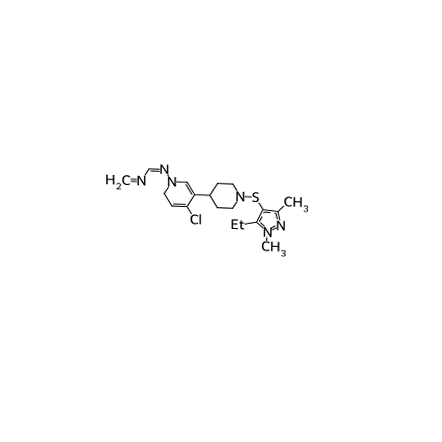 C=N/C=N\N1C=C(C2CCN(Sc3c(C)nn(C)c3CC)CC2)C(Cl)=CC1